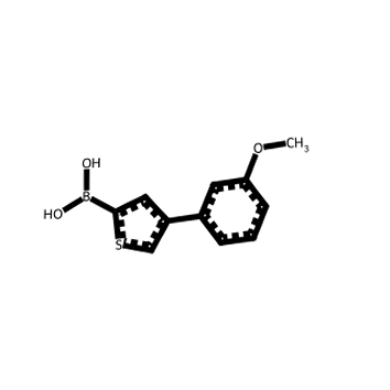 COc1cccc(-c2csc(B(O)O)c2)c1